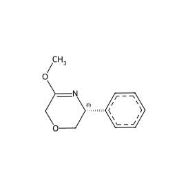 COC1=N[C@H](c2ccccc2)COC1